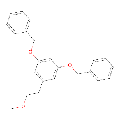 COCCc1cc(OCc2ccccc2)cc(OCc2ccccc2)c1